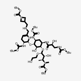 C[C@@H]([C@@H](O)[C@H](OCCO)O[C@@H]1[C@@H](O)[C@H](O[C@H]2OC(CNCC3CN(C(=O)OC(C)(C)C)C3)=CC[C@H]2NC(=O)OC(C)(C)C)[C@@H](NC(=O)OC(C)(C)C)C[C@H]1NC(=O)[C@@H](O)CNC(=O)OC(C)(C)C)N(C)C(=O)OC(C)(C)C